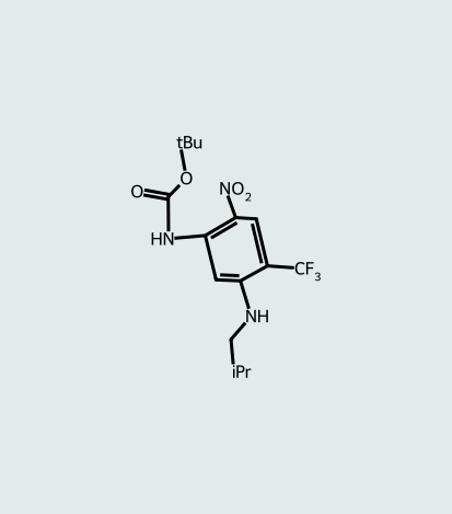 CC(C)CNc1cc(NC(=O)OC(C)(C)C)c([N+](=O)[O-])cc1C(F)(F)F